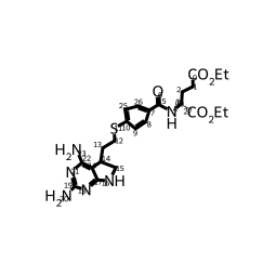 CCOC(=O)CC[C@@H](NC(=O)c1ccc(SCCC2CNc3nc(N)nc(N)c32)cc1)C(=O)OCC